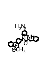 CS(=O)(=O)c1ccccc1-c1ccc(NC(=O)N(Cc2ccccc2)Nc2cccc(CN)c2)cc1